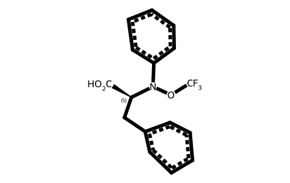 O=C(O)[C@H](Cc1ccccc1)N(OC(F)(F)F)c1ccccc1